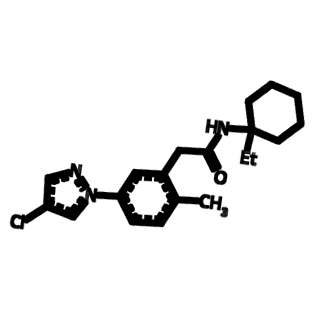 CCC1(NC(=O)Cc2cc(-n3cc(Cl)cn3)ccc2C)CCCCC1